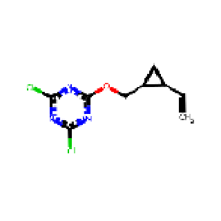 C=C[C@@H]1C[C@@H]1COc1nc(Cl)nc(Cl)n1